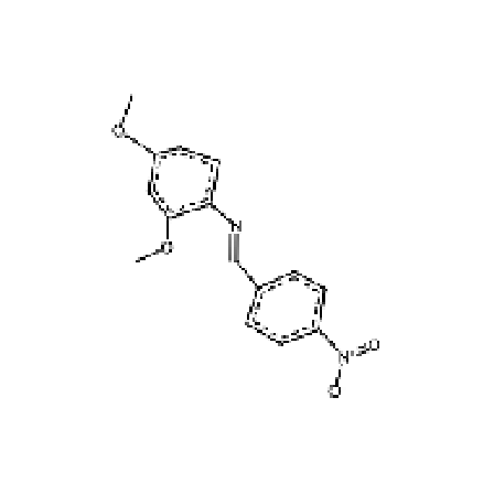 COc1ccc(N=Cc2ccc([N+](=O)[O-])cc2)c(OC)c1